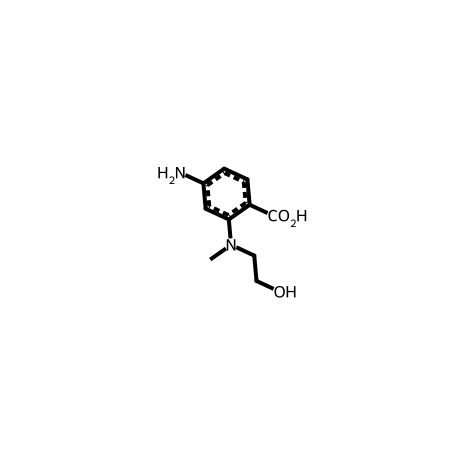 CN(CCO)c1cc(N)ccc1C(=O)O